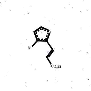 CCOC(=O)/C=C/c1sccc1Br